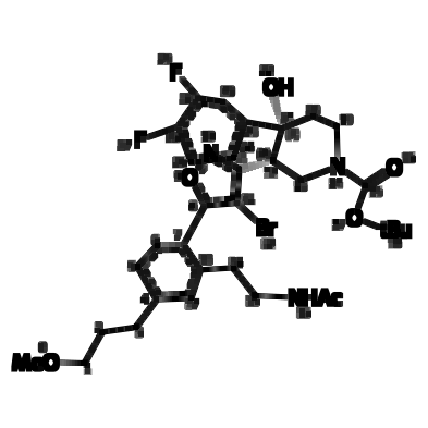 COCCCc1ccc(-c2onc([C@H]3CN(C(=O)OC(C)(C)C)CC[C@]3(O)c3ccc(F)c(F)c3)c2Br)c(CCNC(C)=O)c1